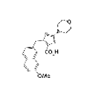 COc1ccc2ccc(Cc3nc(N4CCOCC4)sc3C(=O)O)cc2c1